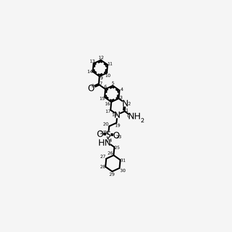 NC1=Nc2ccc(C(=O)c3ccccc3)cc2CN1CCS(=O)(=O)NCC1CCCCC1